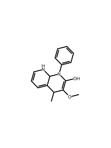 COC1=C(O)N(c2ccccc2)C2NC=CC=C2C1C